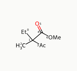 CCC(C)(C(C)=O)C(=O)OC